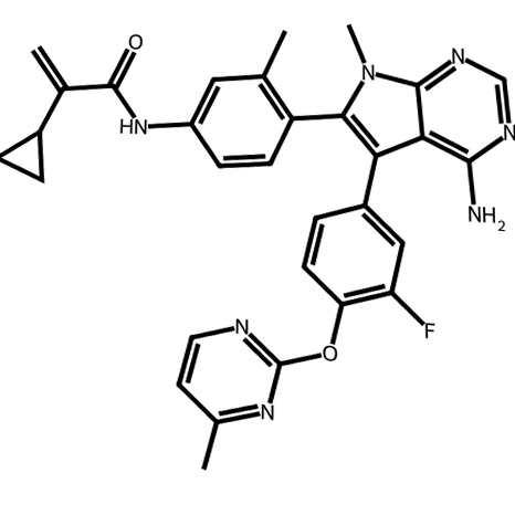 C=C(C(=O)Nc1ccc(-c2c(-c3ccc(Oc4nccc(C)n4)c(F)c3)c3c(N)ncnc3n2C)c(C)c1)C1CC1